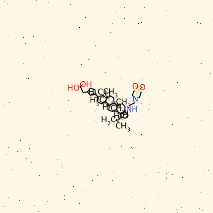 C=C(C)[C@@H]1CC[C@]2(NCCN3CCS(=O)(=O)CC3)CC[C@]3(C)[C@H](CC[C@@H]4[C@@]5(C)CC=C(C6=CC(CC(O)O)CC6)C(C)(C)[C@@H]5CC[C@]43C)[C@@H]12